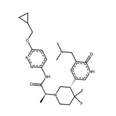 C[C@@H](C(=O)Nc1ccc(OCC2CC2)nn1)N1CCC(F)(F)[C@@H](c2c[nH]c(=O)c(CN(C)C)c2)C1